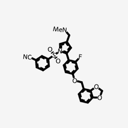 CNCc1cc(-c2ccc(OCc3cccc4c3OCO4)cc2F)n(S(=O)(=O)c2cccc(C#N)c2)c1